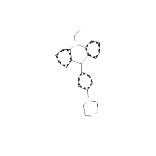 CCN1c2ccccc2C(c2ccc(N3CCOCC3)cc2)c2ccccc21